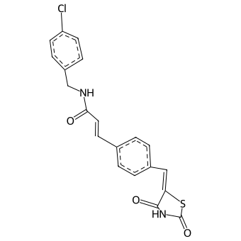 O=C(C=Cc1ccc(C=C2SC(=O)NC2=O)cc1)NCc1ccc(Cl)cc1